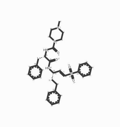 CN1CCN(C(=O)N[C@@H](Cc2ccccc2)C(=O)N[C@H](/C=C/S(=O)(=O)c2ccccc2)CCc2ccccc2)CC1